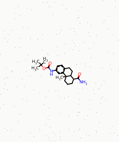 CC(C)(C)OC(=O)Nc1ccc2c(c1)C1(C)CCCC(C(N)=O)C1CC2